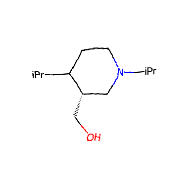 CC(C)C1CCN(C(C)C)C[C@@H]1CO